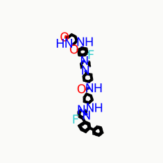 O=C1CCC(Nc2ccc(N3CCN(C4CCC(NC(=O)[C@H]5CC[C@H](Nc6ncc(F)c(-c7cccc(-c8ccccc8)c7)n6)CC5)CC4)CC3)c(F)c2)C(=O)N1